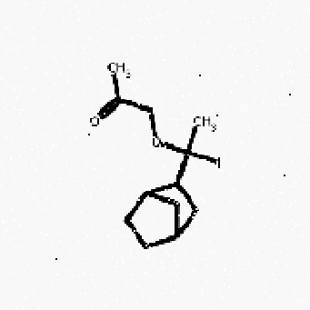 CC(=O)COC(C)(I)C1CC2CCC1C2